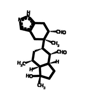 C[C@@H]1C[C@H]([C@@]2(C)Cc3cn[nH]c3C[C@@H]2C=O)[C@H](C=O)[C@H]2CC[C@](C)(O)[C@H]21